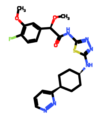 COc1cc([C@@H](OC)C(=O)Nc2nnc(N[C@H]3CC[C@H](c4cccnn4)CC3)s2)ccc1F